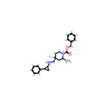 CC1CC(F)(CNC2CC2c2ccccc2)CCN1C(=O)OCc1ccccc1